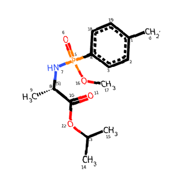 [CH2]c1ccc(P(=O)(N[C@@H](C)C(=O)OC(C)C)OC)cc1